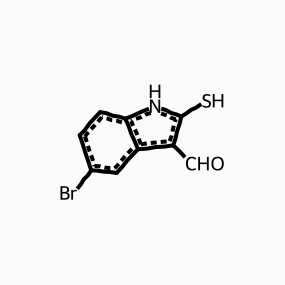 O=Cc1c(S)[nH]c2ccc(Br)cc12